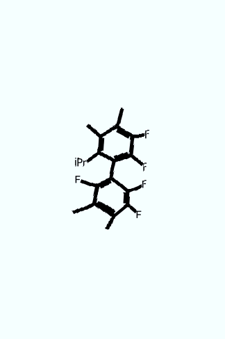 Cc1c(C)c(F)c(-c2c(F)c(F)c(C)c(C)c2C(C)C)c(F)c1F